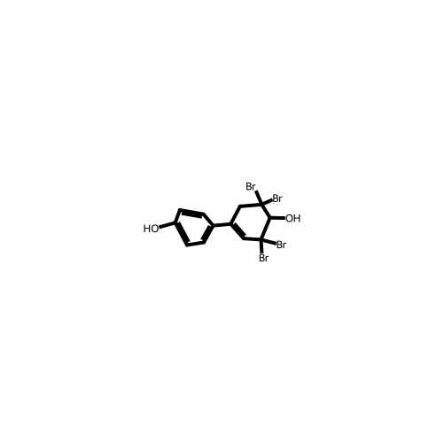 Oc1ccc(C2=CC(Br)(Br)C(O)C(Br)(Br)C2)cc1